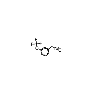 [C-]#[N+]Cc1cccc(OC(F)(F)F)c1